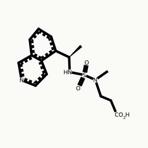 C[C@@H](NS(=O)(=O)N(C)CCC(=O)O)c1cccc2cnccc12